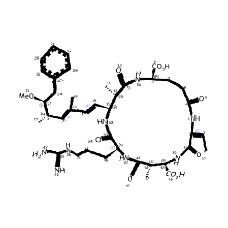 C/C=C1/NC(=O)CC[C@H](C(=O)O)NC(=O)[C@@H](C)[C@H](/C=C/C(C)=C/[C@H](C)[C@H](Cc2ccccc2)OC)NC(=O)[C@H](CCCNC(=N)N)NC(=O)[C@@H](C)[C@H](C(=O)O)NC1=O